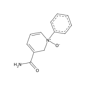 NC(=O)C1=CC=C[N+]([O-])(c2ccccc2)C1